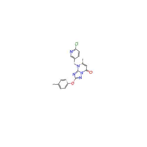 Cc1ccc(Oc2nc3n(Cc4ccc(Cl)nc4)c(C)cc(=O)n3n2)cc1